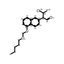 CCCCCOCSc1cccc2cc(C(C=O)C(F)Cl)ccc12